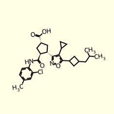 Cc1ccc(NC(=O)[C@H]2C[C@H](C(=O)O)C[C@@H]2c2noc(C3CC(CC(C)C)C3)c2C2CC2)c(Cl)c1